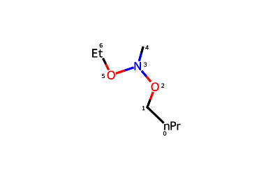 CCCCON(C)OCC